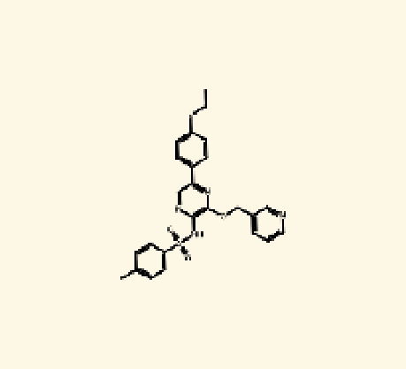 CCSc1ccc(-c2cnc(NS(=O)(=O)c3ccc(C)cc3)c(OCc3cccnc3)n2)cc1